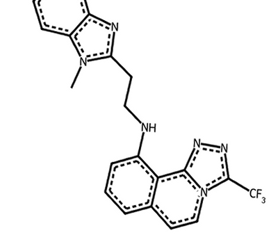 Cn1c(CCNc2cccc3ccn4c(C(F)(F)F)nnc4c23)nc2ccccc21